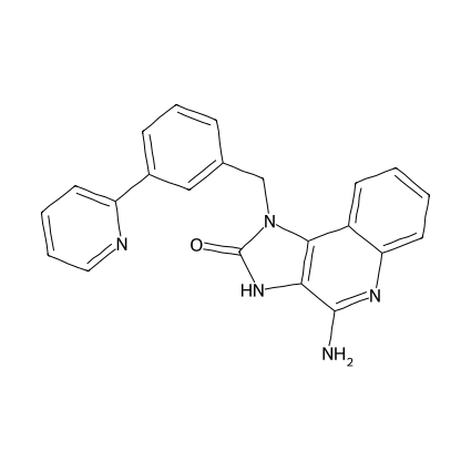 Nc1nc2ccccc2c2c1[nH]c(=O)n2Cc1cccc(-c2ccccn2)c1